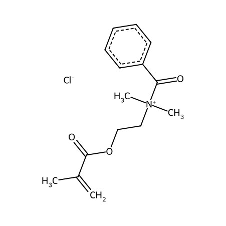 C=C(C)C(=O)OCC[N+](C)(C)C(=O)c1ccccc1.[Cl-]